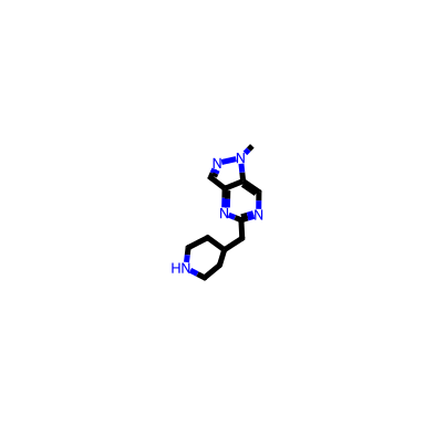 Cn1ncc2nc(CC3CCNCC3)ncc21